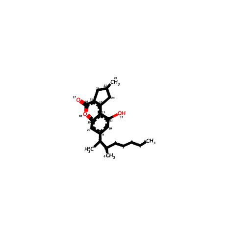 CCCCCC(C)C(C)c1cc(O)c2c3c(c(=O)oc2c1)CC(C)C3